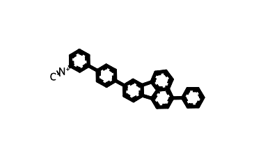 [C-]#[N+]c1cccc(-c2ccc(-c3ccc4c(c3)-c3cccc5c(-c6ccccc6)ccc-4c35)cc2)c1